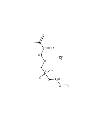 C=C(C)C(=O)OCC[N+](C)(C)COCC.[Cl-]